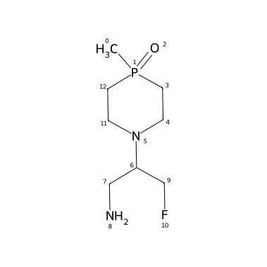 CP1(=O)CCN(C(CN)CF)CC1